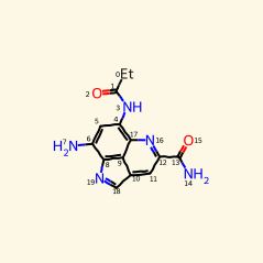 CCC(=O)Nc1cc(N)c2c3c(cc(C(N)=O)nc13)C=N2